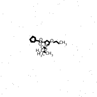 CCCCO[C@@H]1C[C@H](C2OC(c3ccccc3)O2)N(C(=O)OC(C)(C)C)C1